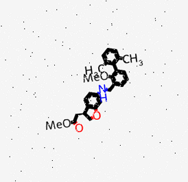 COC(=O)C[C@@H]1COc2cc(NCc3cccc(-c4c(C)cccc4C)c3OC)ccc21